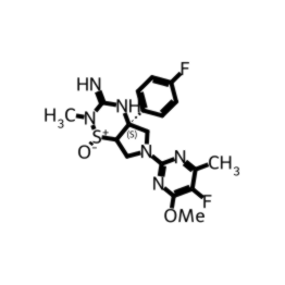 COc1nc(N2CC3[S+]([O-])N(C)C(=N)N[C@@]3(c3ccc(F)cc3)C2)nc(C)c1F